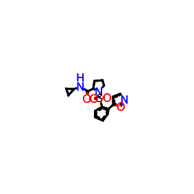 O=C(NC1CC1)C1CCCN1S(=O)(=O)c1ccccc1-c1ccno1